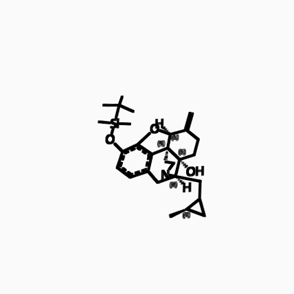 C=C1CC[C@@]2(O)[C@H]3Cc4ccc(O[Si](C)(C)C(C)(C)C)c5c4[C@@]2(CCN3CC2C[C@H]2C)[C@H]1O5